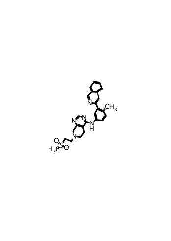 Cc1ccc(Nc2ncnc3c2CCN(CCS(C)(=O)=O)C3)cc1-c1cc2ccccc2cn1